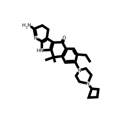 CCc1cc2c(cc1N1CCN(C3CCC3)CC1)C(C)(C)c1[nH]c3c(c1C2=O)CCC(N)=N3